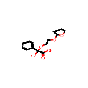 O=C(O)C(O)(OCCOC1CCCO1)c1ccccc1